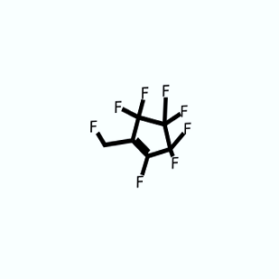 FCC1=C(F)C(F)(F)C(F)(F)C1(F)F